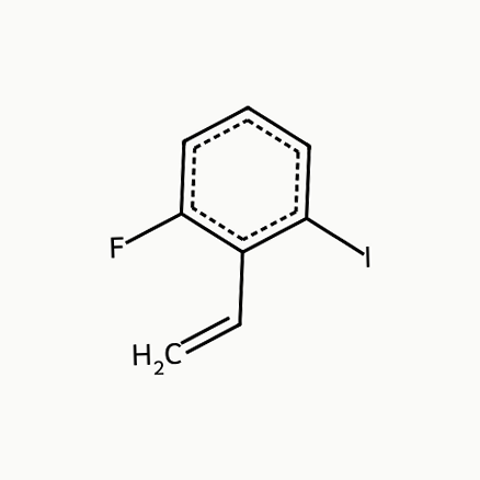 C=Cc1c(F)cccc1I